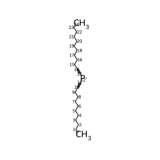 CCCCCCCCCCC#C[P]C#CCCCCCCCCCC